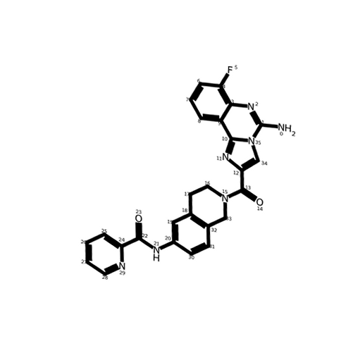 Nc1nc2c(F)cccc2c2nc(C(=O)N3CCc4cc(NC(=O)c5ccccn5)ccc4C3)cn12